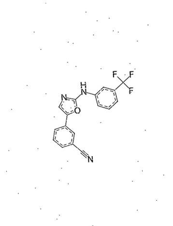 N#Cc1cccc(-c2cnc(Nc3cccc(C(F)(F)F)c3)o2)c1